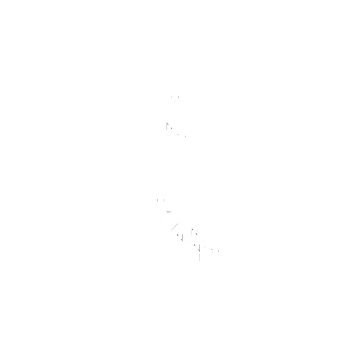 O=C1CN2Cc3cc(OCCCCCCC(=O)N(CCO)C4CCCCC4)ccc3N=C2N1